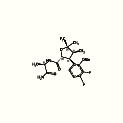 COc1c([C@H]2[C@H](C(=O)N[C@H](C)C(N)=O)O[C@@](C)(C(F)(F)F)[C@H]2C)ccc(F)c1F